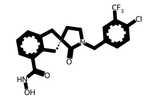 O=C(NO)c1cccc2c1C[C@@]1(CCN(Cc3ccc(Cl)c(C(F)(F)F)c3)C1=O)C2